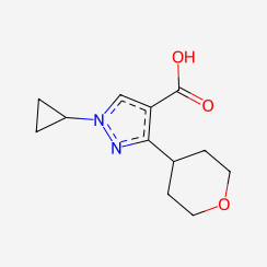 O=C(O)c1cn(C2CC2)nc1C1CCOCC1